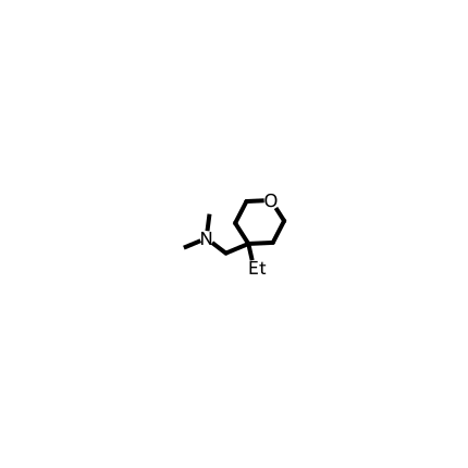 CCC1(CN(C)C)CCOCC1